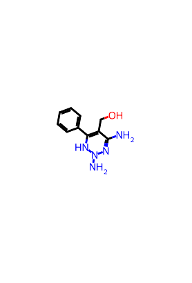 NC1=NN(N)NC(c2ccccc2)=C1CO